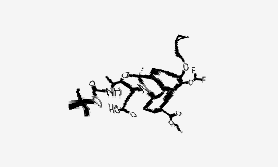 COC(=O)c1ccc(N2C(C(=O)O)=C(C(C)NC(=O)OC(C)(C)C)O[C@@]2(C)c2ccc(OC(F)F)c(OCC3CC3)c2)nc1